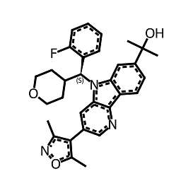 Cc1noc(C)c1-c1cnc2c3ccc(C(C)(C)O)cc3n([C@H](c3ccccc3F)C3CCOCC3)c2c1